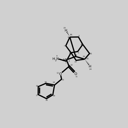 NCC12CC3C[C@H](C1)C(NC(=O)OCc1ccccc1)[C@@H](C3)C2